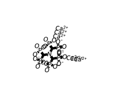 O=P([O-])([O-])C(N(C(P(=O)([O-])[O-])P(=O)([O-])[O-])C(P(=O)([O-])[O-])P(=O)([O-])[O-])P(=O)([O-])[O-].[Ca+2].[Ca+2].[Ca+2].[Ca+2].[Ca+2].[Ca+2]